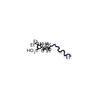 CC/C=C\C/C=C\C/C=C\C/C=C\C/C=C\C/C=C\CCC(=O)N[C@H](C(=O)NC1CC(C(=O)O)=CC(OC(CC)CC)C1NC(C)=O)C(C)C